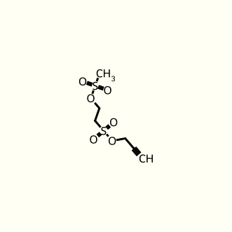 C#CCOS(=O)(=O)CCOS(C)(=O)=O